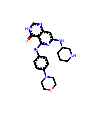 O=c1[nH]cnc2cc(N[C@@H]3CCCNC3)nc(Nc3ccc(N4CCOCC4)cc3)c12